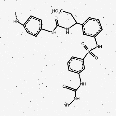 CCCNC(=O)Nc1cccc(S(=O)(=O)Nc2cccc(C(CC(=O)O)NC(=O)Nc3ccc(NI)cc3)c2)c1